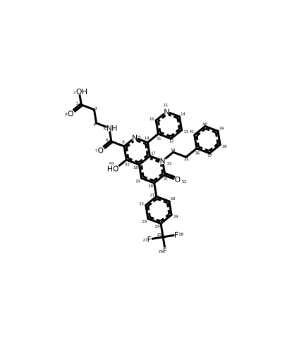 O=C(O)CCNC(=O)c1nc(-c2cccnc2)c2c(cc(-c3ccc(C(F)(F)F)cc3)c(=O)n2CCc2ccccc2)c1O